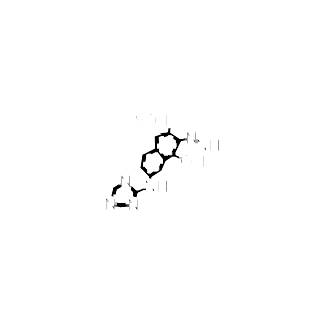 N=Nc1c(S(=O)(=O)O)cc2ccc(Nc3ncncn3)cc2c1O